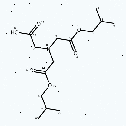 CC(C)COC(=O)CN(CC(=O)O)CC(=O)OCC(C)C